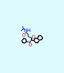 CC(C)NC(=O)CCc1oc2c(ccc3ccccc32)c1C(=O)c1ccccc1